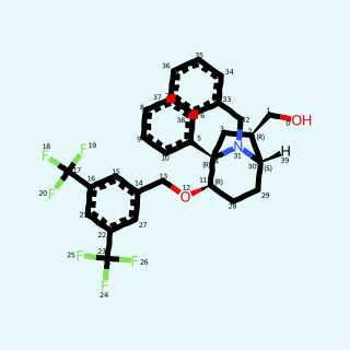 OC[C@@H]1C[C@@]2(c3ccccc3)[C@H](OCc3cc(C(F)(F)F)cc(C(F)(F)F)c3)CC[C@@H]1N2Cc1ccccc1